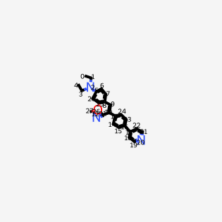 CCN(CC)c1ccc(/C=C(\C#N)c2ccc(-c3ccncc3)cc2)c(OC)c1